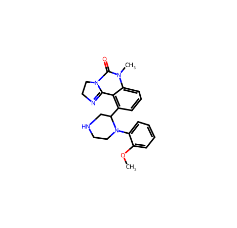 COc1ccccc1N1CCNCC1c1cccc2c1C1=NCCN1C(=O)N2C